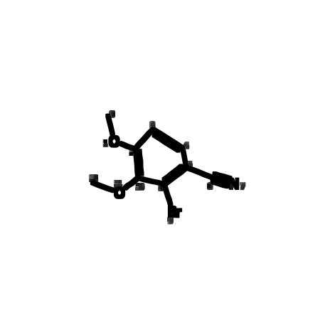 COc1ccc(C#N)c(Br)c1OC